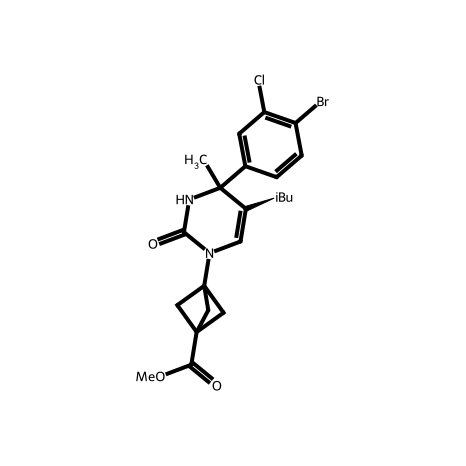 CC[C@H](C)C1=CN(C23CC(C(=O)OC)(C2)C3)C(=O)NC1(C)c1ccc(Br)c(Cl)c1